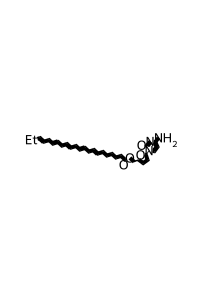 CCC=CCC=CCC=CCC=CCC=CCCCCCC(=O)OC[C@@H]1CC[C@@H](n2ccc(N)nc2=O)O1